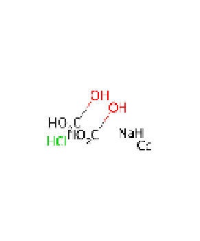 Cl.O=C(O)O.O=C(O)O.[Cd].[NaH]